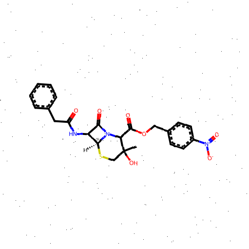 CC1(O)CS[C@H]2C(NC(=O)Cc3ccccc3)C(=O)N2C1C(=O)OCc1ccc([N+](=O)[O-])cc1